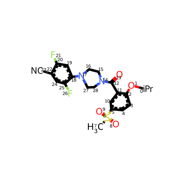 CC(C)Oc1ccc(S(C)(=O)=O)cc1C(=O)N1CCN(c2cc(F)c(C#N)cc2F)CC1